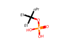 CCCC(CC)(CC)OP(=O)(O)O